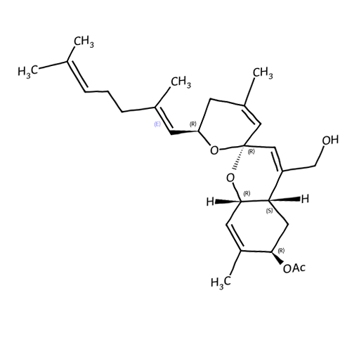 CC(=O)O[C@@H]1C[C@H]2C(CO)=C[C@@]3(C=C(C)C[C@H](/C=C(\C)CCC=C(C)C)O3)O[C@H]2C=C1C